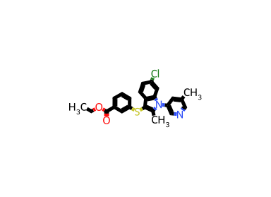 CCOC(=O)c1cccc(Sc2c(C)n(-c3cncc(C)c3)c3cc(Cl)ccc23)c1